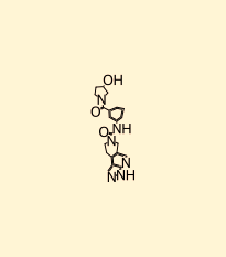 O=C(Nc1cccc(C(=O)N2CCC(O)C2)c1)N1CCc2c(cnc3[nH]ncc23)C1